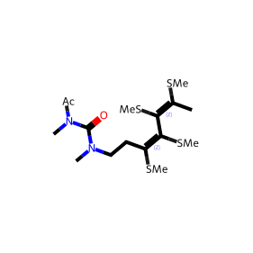 CS/C(C)=C(SC)/C(SC)=C(\CCN(C)C(=O)N(C)C(C)=O)SC